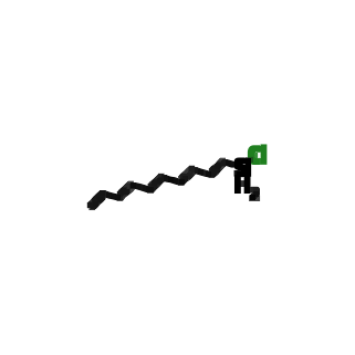 C=CC=CC=CC=CC=C[SiH2]Cl